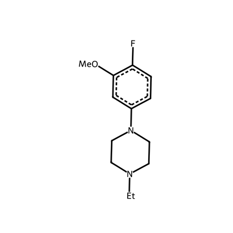 CCN1CCN(c2ccc(F)c(OC)c2)CC1